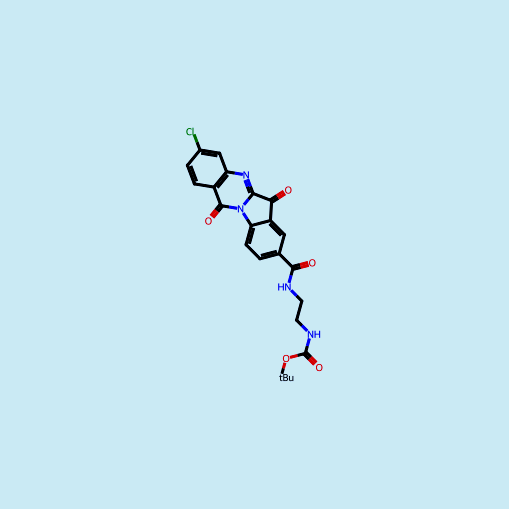 CC(C)(C)OC(=O)NCCNC(=O)c1ccc2c(c1)C(=O)c1nc3cc(Cl)ccc3c(=O)n1-2